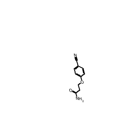 N#Cc1ccc(OCCC(N)=O)cc1